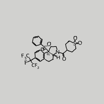 O=C(C1CCS(=O)(=O)CC1)N1CC[C@@]2(S(=O)(=O)c3ccccc3)c3ccc(C(F)(C(F)(F)F)C(F)(F)F)cc3CC[C@@H]12